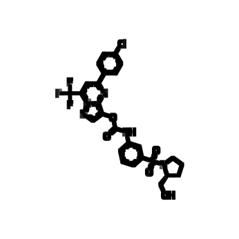 O=C(Nc1cccc(S(=O)(=O)N2CCC[C@H]2CO)c1)Oc1cnn2c(C(F)(F)F)cc(-c3ccc(Cl)cc3)nc12